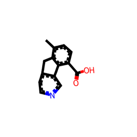 Cc1ccc(C(=O)O)c2c1Cc1ccncc1-2